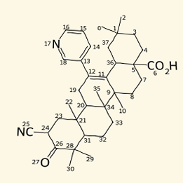 CC1(C)CCC2(C(=O)O)CCC3(C)C(=C(c4cccnc4)CC4C5(C)CC(C#N)C(=O)C(C)(C)C5CCC43C)C2C1